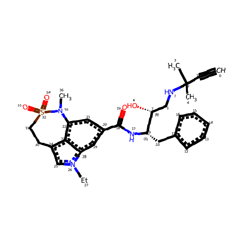 C#CC(C)(C)NC[C@@H](O)[C@H](Cc1ccccc1)NC(=O)c1cc2c3c(cn(CC)c3c1)CCS(=O)(=O)N2C